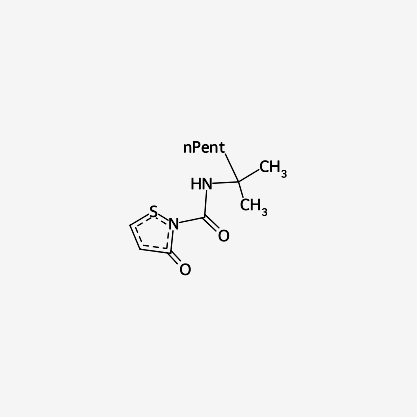 CCCCCC(C)(C)NC(=O)n1sccc1=O